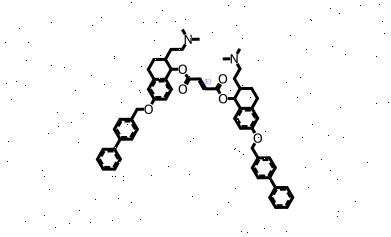 CN(C)CCC1CCc2cc(OCc3ccc(-c4ccccc4)cc3)ccc2C1OC(=O)/C=C/C(=O)OC1c2ccc(OCc3ccc(-c4ccccc4)cc3)cc2CCC1CCN(C)C